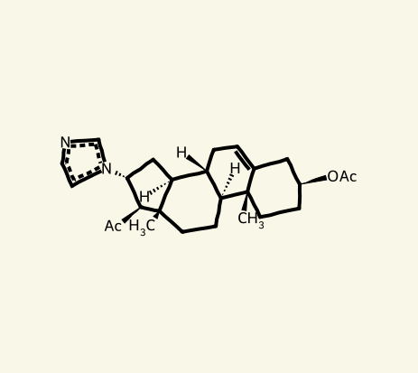 CC(=O)O[C@H]1CC[C@@]2(C)C(=CC[C@H]3[C@@H]4C[C@@H](n5ccnc5)[C@H](C(C)=O)[C@@]4(C)CC[C@@H]32)C1